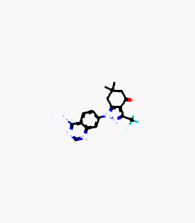 CC1(C)CC(=O)c2c(C(F)(F)F)nn(-c3ccc4c(N)ncnc4c3)c2C1